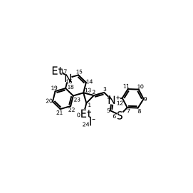 CCC1C(=C[n+]2csc3ccccc32)C12C=CN(CC)c1ccccc12.[I-]